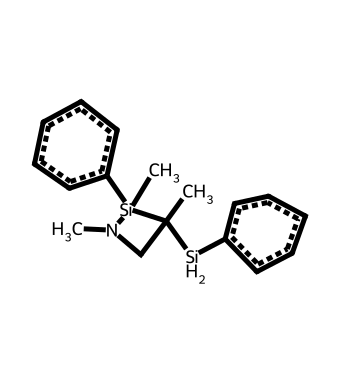 CN1CC(C)([SiH2]c2ccccc2)[Si]1(C)c1ccccc1